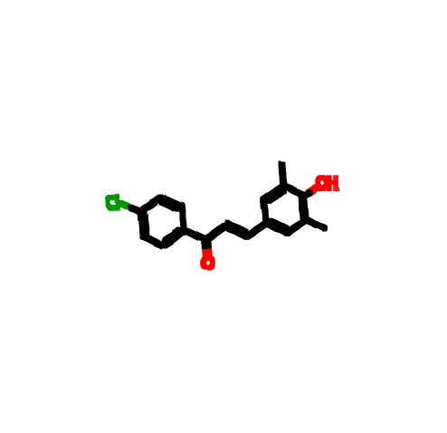 Cc1cc(/C=C/C(=O)c2ccc(Cl)cc2)cc(C)c1O